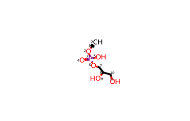 C#COP(=O)(O)OCC(O)CO